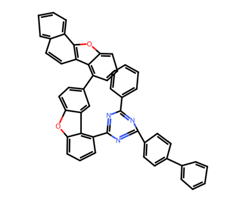 c1ccc(-c2ccc(-c3nc(-c4ccccc4)nc(-c4cccc5oc6ccc(-c7cccc8oc9c%10ccccc%10ccc9c78)cc6c45)n3)cc2)cc1